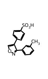 Cc1cccc(-c2nocc2-c2ccc(S(=O)(=O)O)cc2)c1